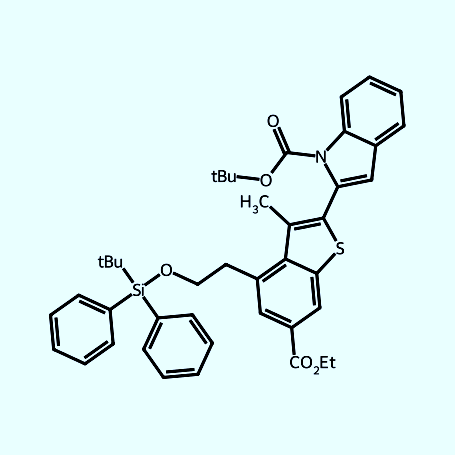 CCOC(=O)c1cc(CCO[Si](c2ccccc2)(c2ccccc2)C(C)(C)C)c2c(C)c(-c3cc4ccccc4n3C(=O)OC(C)(C)C)sc2c1